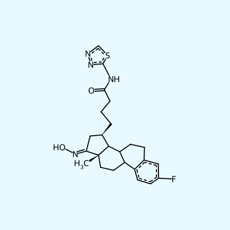 C[C@]12CCC3c4ccc(F)cc4CCC3C1[C@H](CCCC(=O)Nc1nncs1)C/C2=N\O